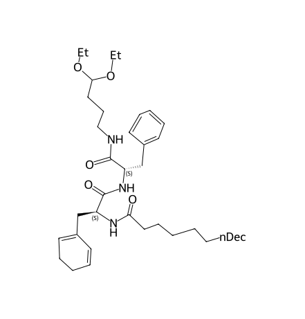 CCCCCCCCCCCCCCCC(=O)N[C@@H](CC1=CCCC=C1)C(=O)N[C@@H](Cc1ccccc1)C(=O)NCCCC(OCC)OCC